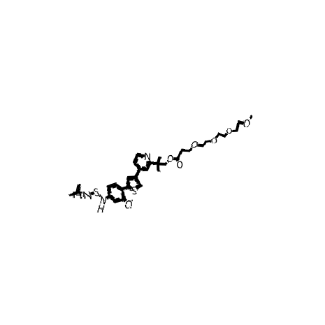 COCCOCCOCCOCCC(=O)OCC(C)(C)c1cc(-c2csc(-c3ccc(NSNC(C)C)cc3Cl)c2)ccn1